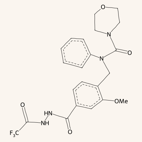 COc1cc(C(=O)NNC(=O)C(F)(F)F)ccc1CN(C(=O)N1CCOCC1)c1ccccc1